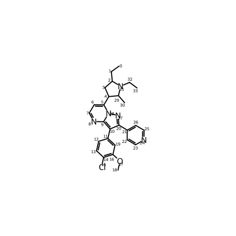 CCC1CC(c2ccnc3c(-c4ccc(Cl)c(OC)c4)c(-c4ccncc4)nn23)C(C)N1CC